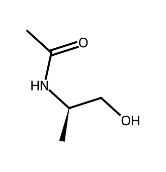 CC(=O)N[C@H](C)CO